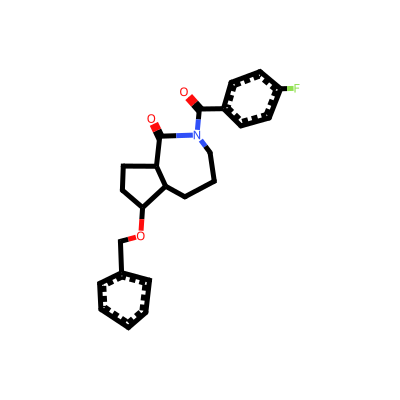 O=C(c1ccc(F)cc1)N1CCCC2C(OCc3ccccc3)CCC2C1=O